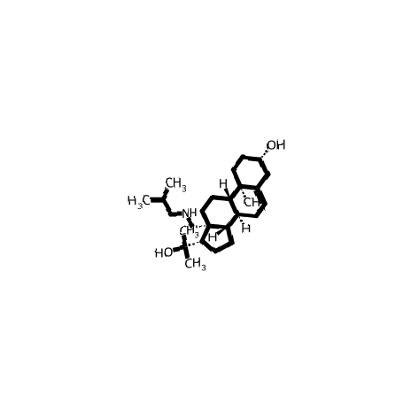 CC(C)CNC[C@]12CC[C@H]3[C@@H](CC=C4C[C@@H](O)CC[C@@]43C)[C@@H]1CC[C@@H]2C(C)(C)O